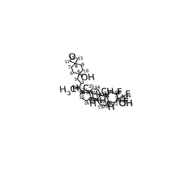 C[C@H](CCC1(O)CCC2(CC1)COC2)[C@H]1CC[C@H]2[C@@H]3CC[C@H]4C[C@](O)(C(F)(F)F)CC[C@]4(C)[C@H]3CC[C@]12C